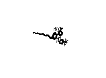 CCCCCCCCCc1ccc(-c2cccc(C(C)C)c2O)c(-n2nc3ccc(C(F)(F)F)cc3n2)c1